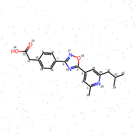 Cc1cc(-c2nc(-c3ccc(CC(=O)O)cc3)no2)cc(CC(C)C)n1